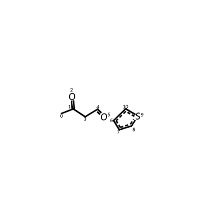 CC(=O)CC=O.c1ccsc1